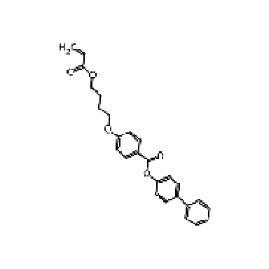 C=CC(=O)OCCCCOc1ccc(C(=O)Oc2ccc(-c3ccccc3)cc2)cc1